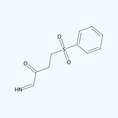 N=CC(=O)CCS(=O)(=O)c1ccccc1